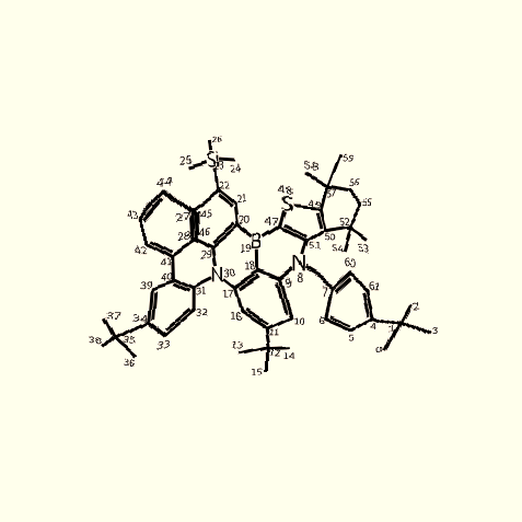 CC(C)(C)c1ccc(N2c3cc(C(C)(C)C)cc4c3B(c3cc([Si](C)(C)C)ccc3N4c3ccc(C(C)(C)C)cc3-c3ccccc3)c3sc4c(c32)C(C)(C)CCC4(C)C)cc1